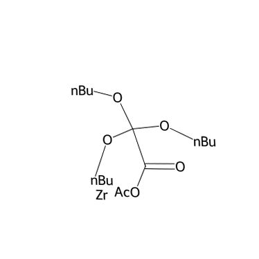 CCCCOC(OCCCC)(OCCCC)C(=O)OC(C)=O.[Zr]